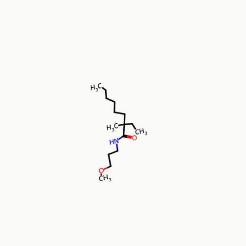 CCCCCCC(C)(CC)C(=O)NCCCOC